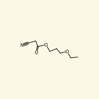 CCOCCCOC(=O)CC#N